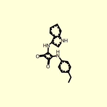 CCc1ccc(Nc2c(Nc3c[nH]c4ccccc34)c(=O)c2=O)cc1